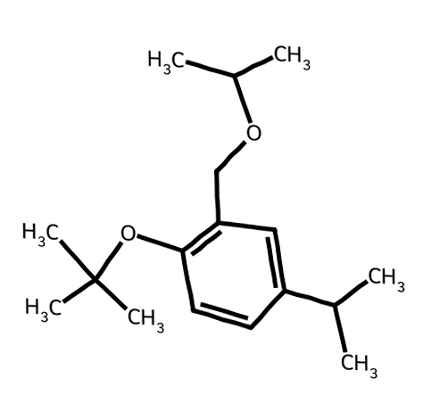 CC(C)OCc1cc(C(C)C)ccc1OC(C)(C)C